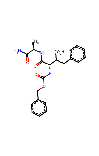 C[C@@H](NC(=O)[C@@H](NC(=O)OCc1ccccc1)C(Cc1ccccc1)C(=O)O)C(N)=O